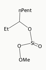 CCCCCC(CC)O[Si](=O)OOC